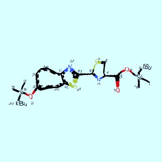 CC(C)(C)[Si](C)(C)OC(=O)C1CSC(c2nc3ccc(O[Si](C)(C)C(C)(C)C)cc3s2)=N1